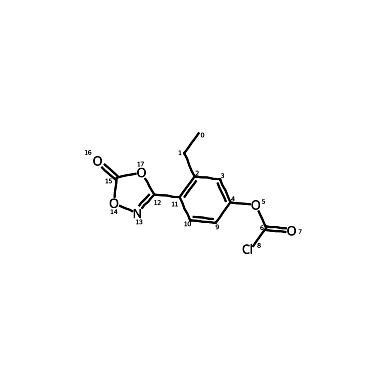 CCc1cc(OC(=O)Cl)ccc1-c1noc(=O)o1